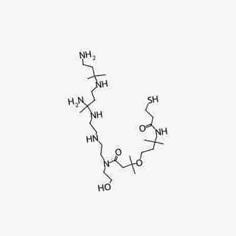 CC(C)(CCN)NCCC(C)(N)NCCNCCN(CCO)C(=O)CC(C)(C)OCCC(C)(C)NC(=O)CCS